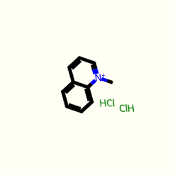 C[n+]1cccc2ccccc21.Cl.Cl